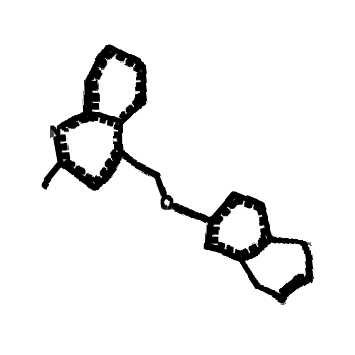 Cc1cc(COc2ccc3c(c2)CC=C[CH]3)c2ccccc2n1